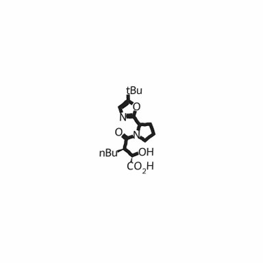 CCCC[C@@H](C(=O)N1CCCC1c1ncc(C(C)(C)C)o1)[C@H](O)C(=O)O